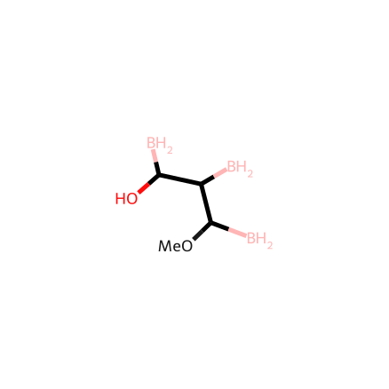 BC(O)C(B)C(B)OC